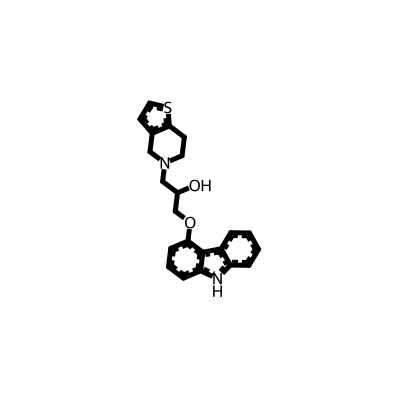 OC(COc1cccc2[nH]c3ccccc3c12)CN1CCc2sccc2C1